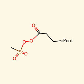 CCCCCCCC(=O)OOS(C)(=O)=O